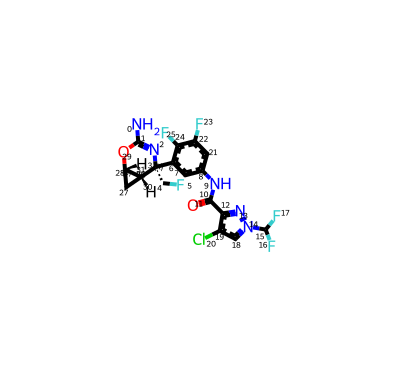 NC1=N[C@@](CF)(c2cc(NC(=O)c3nn(C(F)F)cc3Cl)cc(F)c2F)[C@@H]2C[C@@H]2O1